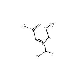 CC(C)C(=CC(=O)O)CCO